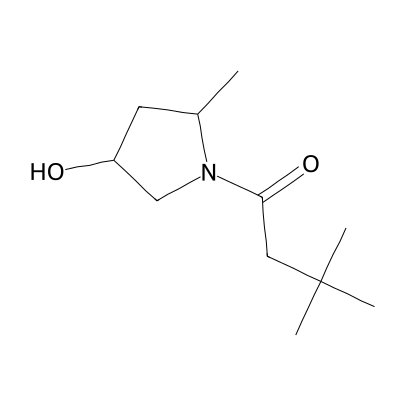 CC1CC(O)CN1C(=O)CC(C)(C)C